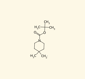 [CH2]C1([CH2])CCN(C(=O)OC(C)(C)C)CC1